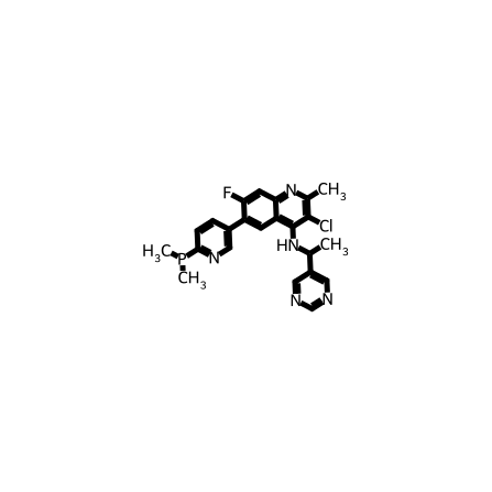 Cc1nc2cc(F)c(-c3ccc(P(C)C)nc3)cc2c(NC(C)c2cncnc2)c1Cl